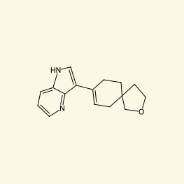 C1=C(c2c[nH]c3cccnc23)CCC2(C1)CCOC2